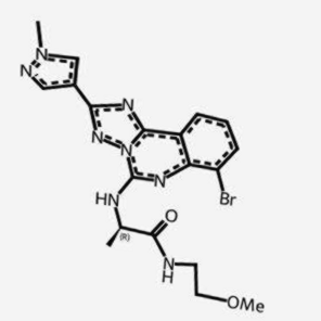 COCCNC(=O)[C@@H](C)Nc1nc2c(Br)cccc2c2nc(-c3cnn(C)c3)nn12